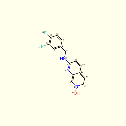 ON1C=c2nc(NCc3ccc(F)c(F)c3)ccc2=CC1